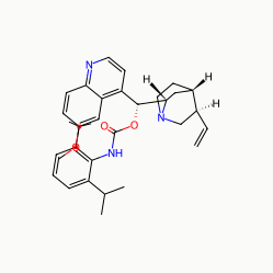 C=C[C@H]1CN2CC[C@H]1C[C@H]2[C@H](OC(=O)Nc1c(C(C)C)cccc1C(C)C)c1ccnc2ccc(OC)cc12